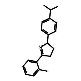 Cc1ccccc1C1=NC(c2ccc(C(C)C)cc2)CC1